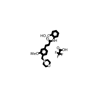 COc1cc(/C=C/C(=O)Nc2ccccc2C(=O)O)ccc1CN1CCOCC1.O=C(O)C(F)(F)F